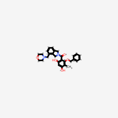 Cc1c(O)cc(O)c(C(=O)N2Cc3cccc(CN4CCOCC4)c3C2)c1OCc1ccccc1